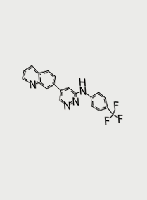 FC(F)(F)c1ccc(Nc2cc(-c3ccc4cccnc4c3)cnn2)cc1